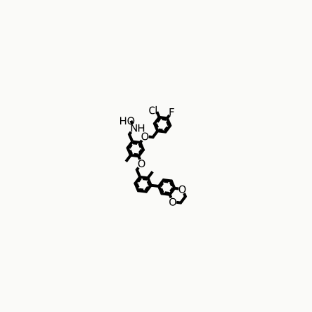 Cc1cc(CNO)c(OCc2ccc(F)c(Cl)c2)cc1OCc1cccc(-c2ccc3c(c2)OCCO3)c1C